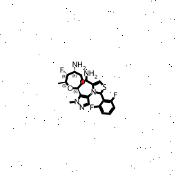 C[C@@H]1O[C@H](c2c(N3C(C(N)=O)=CSC3c3c(F)cccc3F)cnn2C)CC[C@@H](N)[C@H]1F